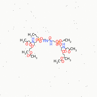 C=CCCP(=O)(OCCNC(=O)NCCOP(=O)(OCC=C)OC[C@@H](COCC[C@@H](C)OC(C)=O)NC(=O)CC(C)=O)OC[C@@H](COCC[C@@H](C)OC(C)=O)NC(=O)CC(C)=O